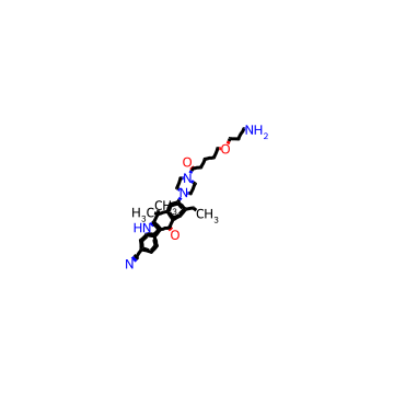 CCc1cc2c(cc1N1CCN(C(=O)CCCCOCCCN)CC1)C(C)(C)c1[nH]c3cc(C#N)ccc3c1C2=O